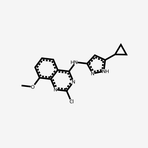 COc1cccc2c(Nc3cc(C4CC4)[nH]n3)nc(Cl)nc12